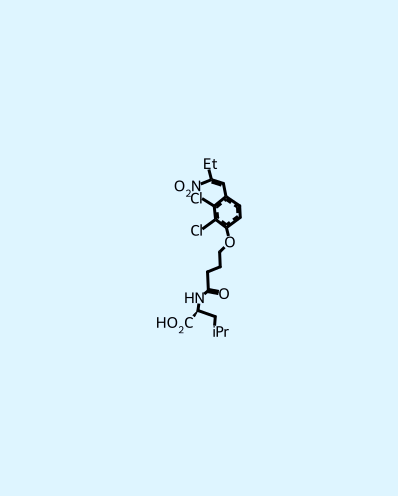 CC/C(=C/c1ccc(OCCCC(=O)N[C@@H](CC(C)C)C(=O)O)c(Cl)c1Cl)[N+](=O)[O-]